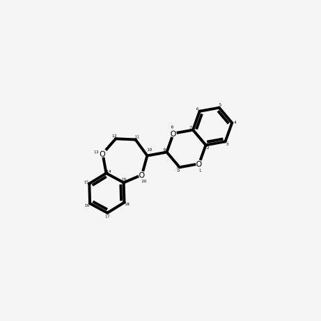 [C]1Oc2ccccc2OC1C1CCOc2ccccc2O1